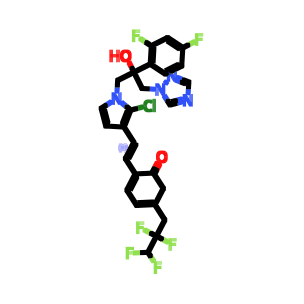 O=C1CC(CC(F)(F)C(F)F)=CC=C1/C=C/c1ccn(CC(O)(Cn2cncn2)c2ccc(F)cc2F)c1Cl